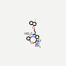 CCc1nn(C)c2c1-c1c(F)ccc3c(CCCOc4ccc(F)c5ccccc45)c(C(=O)O)n(c13)Cc1ccccc1COC2